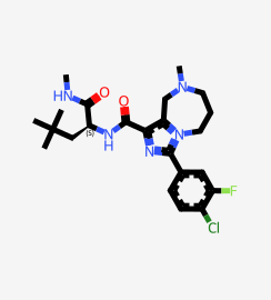 CNC(=O)[C@H](CC(C)(C)C)NC(=O)c1nc(-c2ccc(Cl)c(F)c2)n2c1CN(C)CCC2